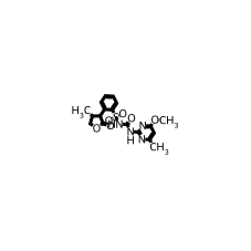 COc1cc(C)nc(NC(=O)NS(=O)(=O)c2ccccc2C2C(=O)OCC2C)n1